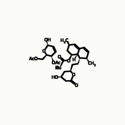 CC(=O)OC[C@H]1O[C@H](O)C=C[C@@H]1OC(C)=O.CC[C@H](C)C(=O)O[C@H]1C[C@@H](C)C=C2C=C[C@H](C)[C@H](CC[C@@H]3C[C@@H](O)CC(=O)O3)[C@H]21